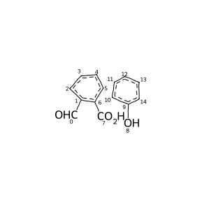 O=Cc1ccccc1C(=O)O.Oc1ccccc1